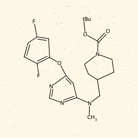 CN(CC1CCN(C(=O)OC(C)(C)C)CC1)c1cc(Oc2cc(F)ccc2F)ncn1